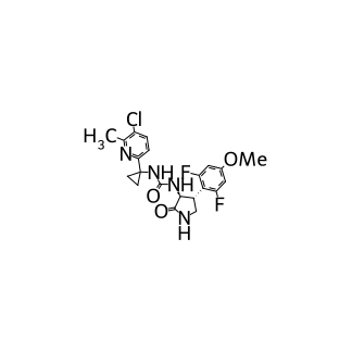 COc1cc(F)c([C@@H]2CNC(=O)[C@H]2NC(=O)NC2(c3ccc(Cl)c(C)n3)CC2)c(F)c1